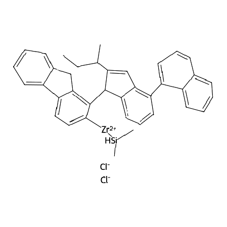 CCC(C)C1=Cc2c(-c3cccc4ccccc34)cccc2C1c1[c]([Zr+2][SiH](C)C)ccc2c1Cc1ccccc1-2.[Cl-].[Cl-]